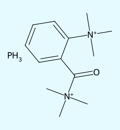 C[N+](C)(C)C(=O)c1ccccc1[N+](C)(C)C.P